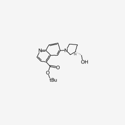 CC(C)(C)OC(=O)c1ccnc2ccc(N3CC[C@H](CO)C3)cc12